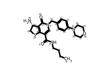 CCCCNC(=O)c1cn(Cc2ccc(N3CCOCC3)cc2)c(=O)c2c1SC[C@@H]2N